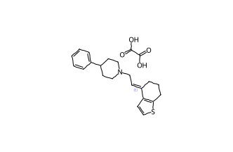 C(/CN1CCC(c2ccccc2)CC1)=C1/CCCc2sccc21.O=C(O)C(=O)O